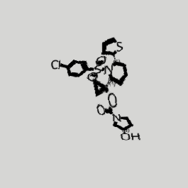 O=C(OC1([C@H]2CCC[C@@H](C3CC=CS3)N2S(=O)(=O)c2ccc(Cl)cc2)CC1)N1CC[C@H](O)C1